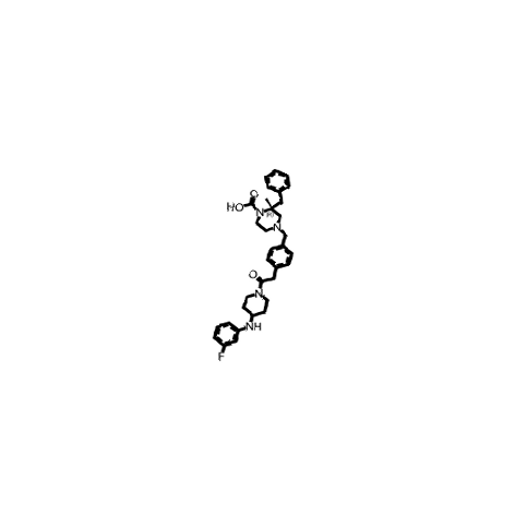 C[C@@]1(Cc2ccccc2)CN(Cc2ccc(CC(=O)N3CCC(Nc4cccc(F)c4)CC3)cc2)CCN1C(=O)O